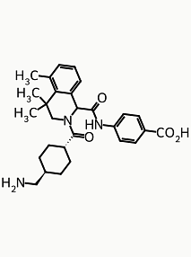 Cc1cccc2c1C(C)(C)CN(C(=O)[C@H]1CC[C@H](CN)CC1)C2C(=O)Nc1ccc(C(=O)O)cc1